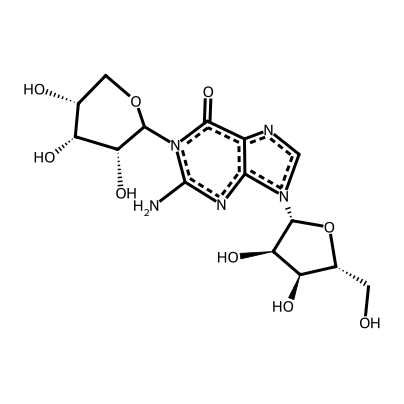 Nc1nc2c(ncn2[C@@H]2O[C@H](CO)[C@@H](O)[C@H]2O)c(=O)n1C1OC[C@@H](O)[C@@H](O)[C@H]1O